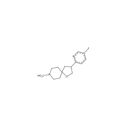 O=C(O)N1CCC2(CC1)CC(c1ccc(F)cn1)CO2